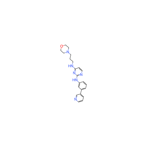 c1cncc(-c2cccc(Nc3nccc(NCCCN4CCOCC4)n3)c2)c1